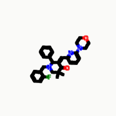 CC1(C)CN(Cc2ccccc2F)C(c2ccccc2)/C(=C/c2cccc(N3CCOCC3)n2)C1=O